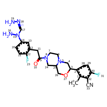 Cc1c(C2CN3CCN(C(=O)Cc4cc(N(N)/C=N\N)ccc4F)CC3CO2)ccc(F)c1C#N